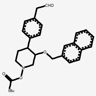 CC(C)(C)C(=O)ON1CCC(c2ccc(CC=O)cc2)C(OCc2ccc3ccccc3c2)C1